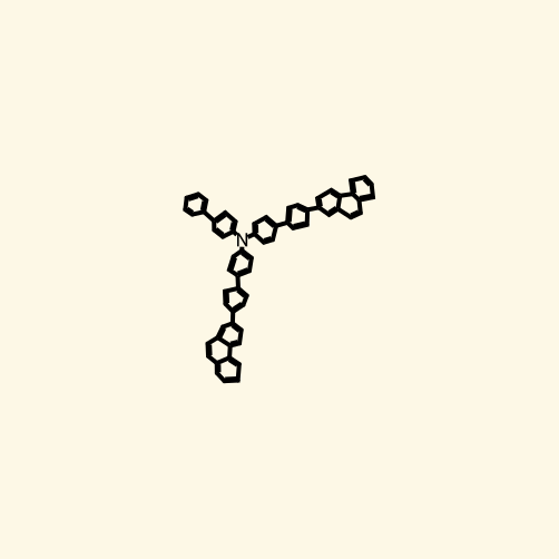 c1ccc(-c2ccc(N(c3ccc(-c4ccc(-c5ccc6c(ccc7ccccc76)c5)cc4)cc3)c3ccc(-c4ccc(-c5ccc6c(ccc7ccccc76)c5)cc4)cc3)cc2)cc1